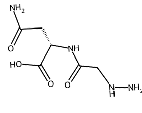 NNCC(=O)N[C@@H](CC(N)=O)C(=O)O